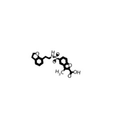 Cc1c(C(=O)O)oc2ccc(S(=O)(=O)NCCc3cccc4c3OCC4)cc12